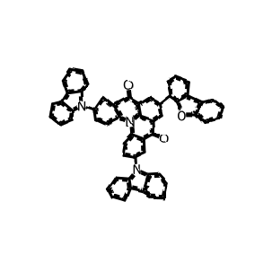 O=c1c2cc(-n3c4ccccc4c4ccccc43)ccc2n2c3ccc(-n4c5ccccc5c5ccccc54)cc3c(=O)c3cc(-c4cccc5c4oc4ccccc45)cc1c32